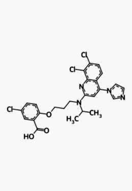 CC(C)N(CCCOc1ccc(Cl)cc1C(=O)O)c1cc(-n2ccnc2)c2ccc(Cl)c(Cl)c2n1